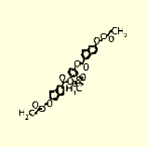 C=CC(=O)OCOc1ccc2cc(C(=O)Oc3ccc(OC(=O)c4ccc5cc(OCOC(=O)C=C)ccc5c4)c(S(=O)(=O)CC)c3)ccc2c1